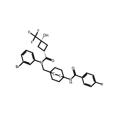 O=C(NC12CCC(CN(c3cccc(Br)c3)C(=O)[C@H]3C[C@](O)(C(F)(F)F)C3)(CC1)CC2)c1ccc(F)cc1